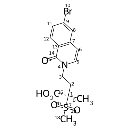 C[C@@](CCn1ccc2cc(Br)ccc2c1=O)(C(=O)O)S(C)(=O)=O